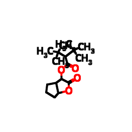 CC(C)(C)C(C(=O)OC1C(=O)OC2CCCC21)C(C)(C)C